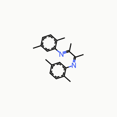 CC(=Nc1cc(C)ccc1C)C(C)=Nc1cc(C)ccc1C